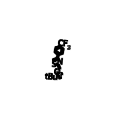 CC(C)(C)[Si](C)(C)OCc1nc(-c2ccc(C(F)(F)F)cc2)cs1